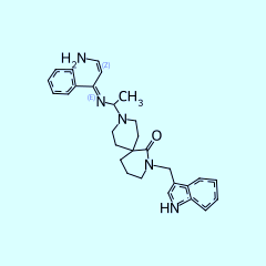 CC(/N=C(\C=C/N)c1ccccc1)N1CCC2(CCCN(Cc3c[nH]c4ccccc34)C2=O)CC1